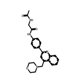 CC(=O)NCC(=O)Nc1ccc(-c2cc(CN3CCOCC3)c3ccccc3n2)cc1